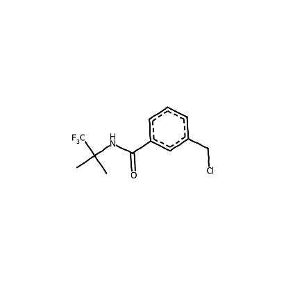 CC(C)(NC(=O)c1cccc(CCl)c1)C(F)(F)F